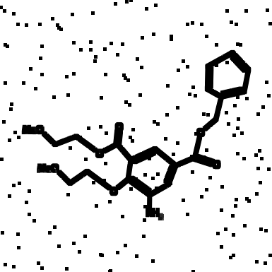 COCCOC(=O)c1cc(C(=O)OCc2ccccc2)cc(N)c1OCCOC